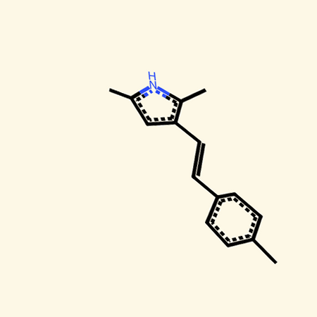 Cc1ccc(/C=C/c2cc(C)[nH]c2C)cc1